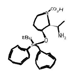 CC(N)[C@@H]1[C@@H](O[Si](c2ccccc2)(c2ccccc2)C(C)(C)C)CCN1C(=O)O